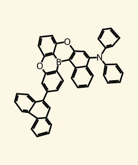 c1ccc(N(c2ccccc2)c2cc3c(c4ccccc24)B2c4ccc(-c5cc6ccccc6c6ccccc56)cc4Oc4cccc(c42)O3)cc1